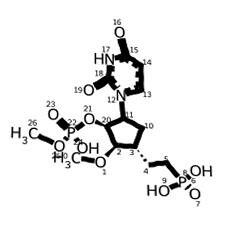 CO[C@@H]1[C@@H](CCP(=O)(O)O)CC(n2ccc(=O)[nH]c2=O)[C@@H]1OP(=O)(O)OC